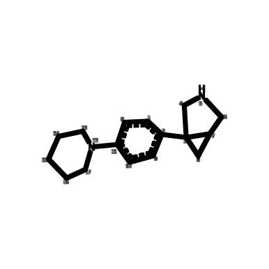 c1cc(C23CNCC2C3)ccc1N1CCCCC1